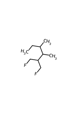 CCC(C)C(C)C(CF)CF